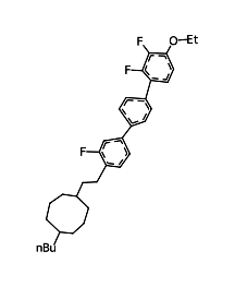 CCCCC1CCCC(CCc2ccc(-c3ccc(-c4ccc(OCC)c(F)c4F)cc3)cc2F)CCC1